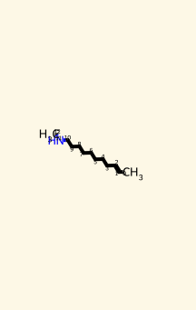 C/C=C/CCCCCCCCNC